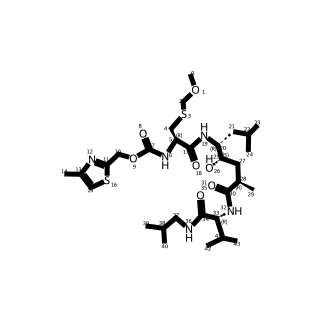 COCSC[C@H](NC(=O)OCc1nc(C)cs1)C(=O)N[C@H](CC(C)C)[C@@H](O)C[C@@H](C)C(=O)N[C@@H](C(=O)NCC(C)C)C(C)C